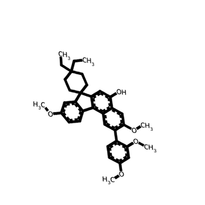 CCC1(CC)CCC2(CC1)c1cc(OC)ccc1-c1c2cc(O)c2cc(OC)c(-c3ccc(OC)cc3OC)cc12